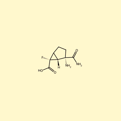 NC(=O)[C@]1(N)CCC2[C@H]1[C@@]2(F)C(=O)O